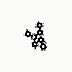 Cc1ccc(-c2cc(-c3cccc(-c4ccccc4)c3)nc(-c3ccccc3)n2)c(-c2cccc3sc4ccccc4c23)n1